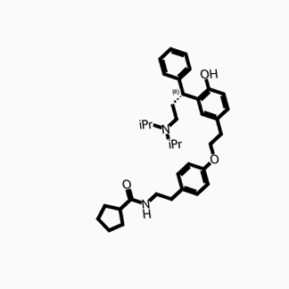 CC(C)N(CC[C@H](c1ccccc1)c1cc(CCOc2ccc(CCNC(=O)C3CCCC3)cc2)ccc1O)C(C)C